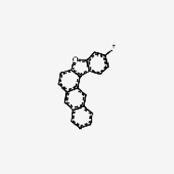 Fc1ccc2c(c1)oc1ccc3cc4ccccc4cc3c12